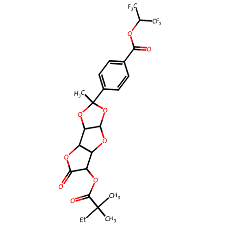 CCC(C)(C)C(=O)OC1C(=O)OC2C3OC(C)(c4ccc(C(=O)OC(C(F)(F)F)C(F)(F)F)cc4)OC3OC12